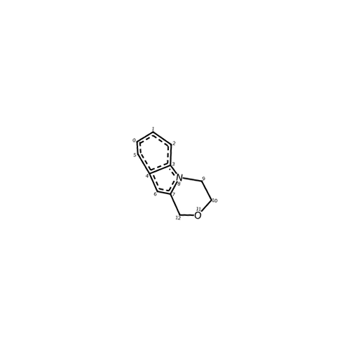 c1ccc2c(c1)cc1n2CCOC1